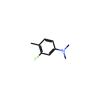 Cc1ccc(N(C)C)cc1F